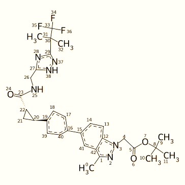 Cc1nn(CC(=O)OC(C)(C)C)c2ccc(-c3ccc([C@H]4C[C@@H]4C(=O)NCc4nc(C(C)(C)C(F)(F)F)n[nH]4)cc3)cc12